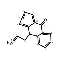 C=CCC1c2ccccc2C(=O)c2ccccc21